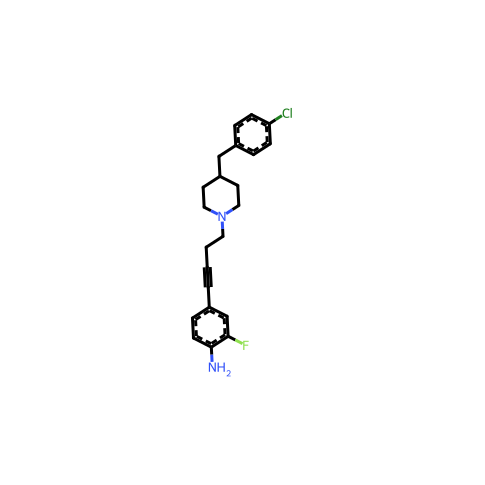 Nc1ccc(C#CCCN2CCC(Cc3ccc(Cl)cc3)CC2)cc1F